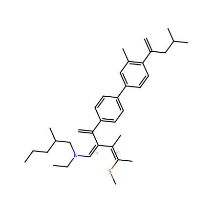 C=C(C(=C\N(CC)CC(C)CCC)/C(C)=C(/C)SC)c1ccc(-c2ccc(C(=C)CC(C)C)c(C)c2)cc1